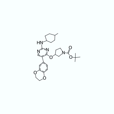 CC1CCC(Nc2ncc(-c3ccc4c(c3)OCCO4)c(OC3CCN(C(=O)OC(C)(C)C)C3)n2)CC1